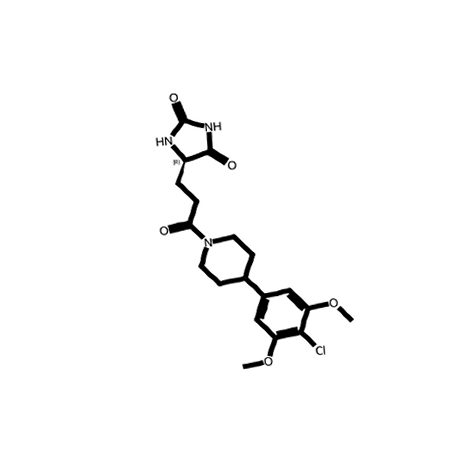 COc1cc(C2CCN(C(=O)CC[C@H]3NC(=O)NC3=O)CC2)cc(OC)c1Cl